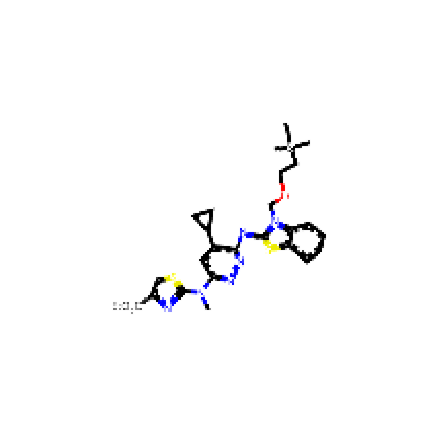 CCOC(=O)c1csc(N(C)c2cc(C3CC3)c(/N=c3\sc4ccccc4n3COCC[Si](C)(C)C)nn2)n1